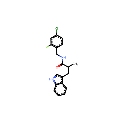 CC(Cc1c[nH]c2ccccc12)C(=O)NCc1ccc(Cl)cc1F